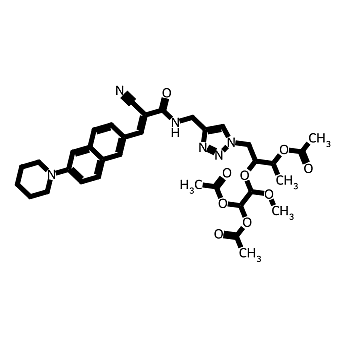 COC(OC(Cn1cc(CNC(=O)/C(C#N)=C/c2ccc3cc(N4CCCCC4)ccc3c2)nn1)C(C)OC(C)=O)C(OC(C)=O)OC(C)=O